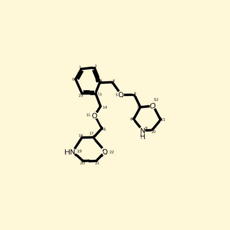 c1ccc(COCC2CNCCO2)c(COCC2CNCCO2)c1